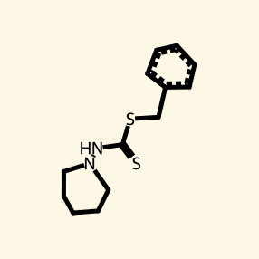 S=C(NN1CCCCC1)SCc1ccccc1